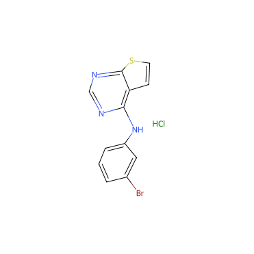 Brc1cccc(Nc2ncnc3sccc23)c1.Cl